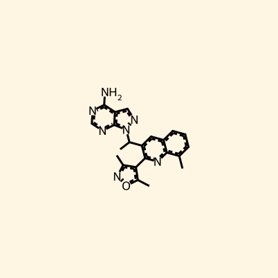 Cc1noc(C)c1-c1nc2c(C)cccc2cc1C(C)n1ncc2c(N)ncnc21